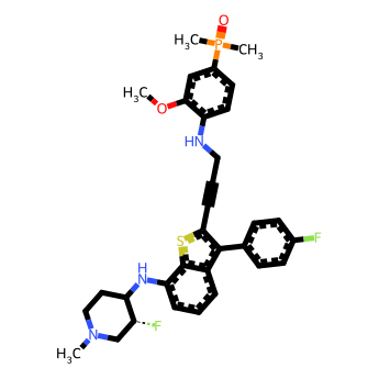 COc1cc(P(C)(C)=O)ccc1NCC#Cc1sc2c(NC3CCN(C)C[C@H]3F)cccc2c1-c1ccc(F)cc1